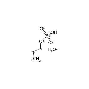 C=CCOS(=O)(=O)O.O